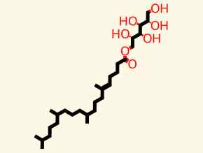 C/C(=C\CCCC(=O)OC[C@H](O)[C@H](O)[C@@H](O)[C@@H](O)CO)CCCC(C)CCCC(C)CCCC(C)C